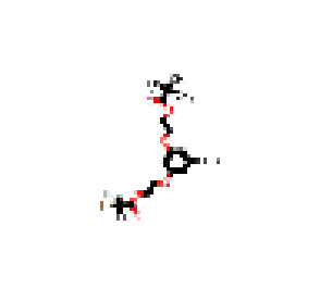 BC(C)(C)C(=O)OCCOc1cc(C=O)cc(OCCOC(=O)C(C)(C)Br)c1